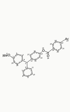 COc1ccc(C(c2ccccc2)c2ccc(OC(=O)c3ccc(C(C)=O)cc3)cc2)cc1